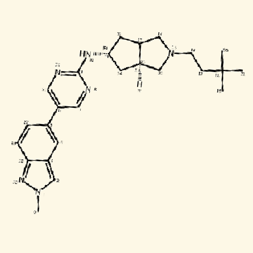 Cn1cc2cc(-c3cnc(N[C@@H]4CC5CN(CCC(C)(C)C)C[C@H]5C4)nc3)ccc2n1